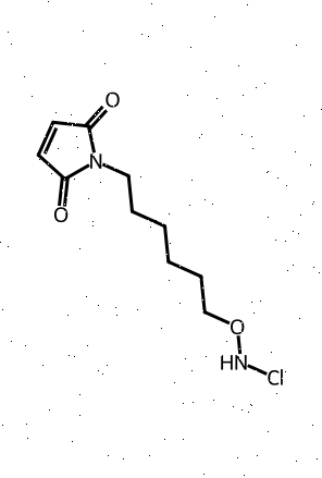 O=C1C=CC(=O)N1CCCCCCONCl